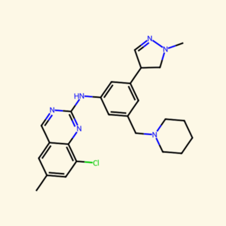 Cc1cc(Cl)c2nc(Nc3cc(CN4CCCCC4)cc(C4C=NN(C)C4)c3)ncc2c1